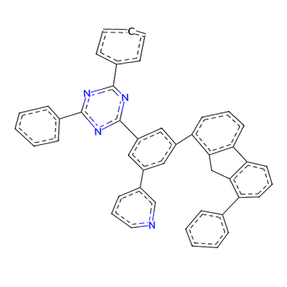 c1ccc(-c2nc(-c3ccccc3)nc(-c3cc(-c4cccnc4)cc(-c4cccc5c4Cc4c(-c6ccccc6)cccc4-5)c3)n2)cc1